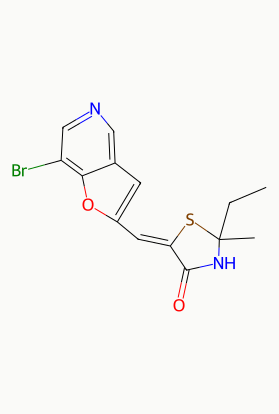 CCC1(C)NC(=O)/C(=C/c2cc3cncc(Br)c3o2)S1